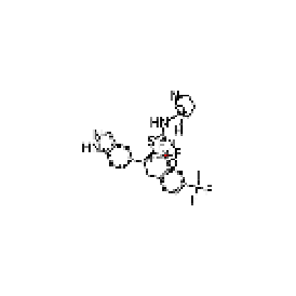 O=C1N=C(N[C@@H]2CN3CCC2CC3)SC1=C(Cc1ccc(C(F)(F)F)cc1C(F)(F)F)c1ccc2[nH]ncc2c1